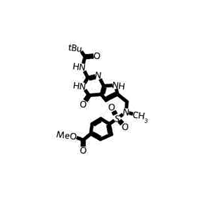 COC(=O)c1ccc(S(=O)(=O)N(C)Cc2cc3c(=O)[nH]c(NC(=O)C(C)(C)C)nc3[nH]2)cc1